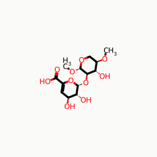 CO[C@@H]1OC[C@@H](OC)[C@H](O)[C@H]1O[C@H]1OC(C(=O)O)=C[C@H](O)[C@H]1O